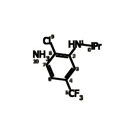 CC(C)Nc1cc(C(F)(F)F)ccc1Cl.N